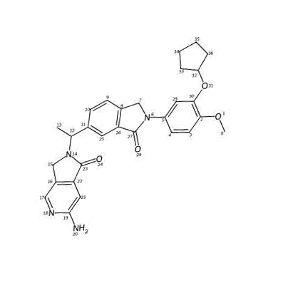 COc1ccc(N2Cc3ccc(C(C)N4Cc5cnc(N)cc5C4=O)cc3C2=O)cc1OC1CCCC1